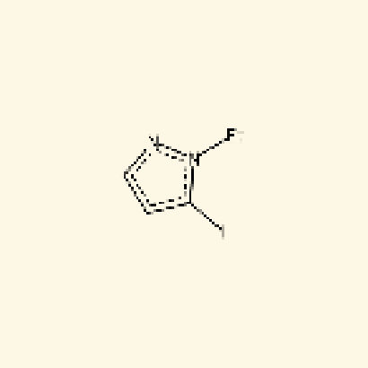 CCn1nccc1I